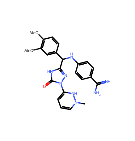 COc1ccc(C(Nc2ccc(C(=N)N)cc2)c2nn(C3=CC=CN(C)N3)c(=O)[nH]2)cc1OC